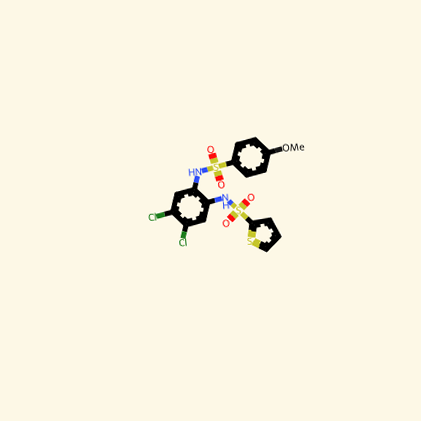 COc1ccc(S(=O)(=O)Nc2cc(Cl)c(Cl)cc2NS(=O)(=O)c2cccs2)cc1